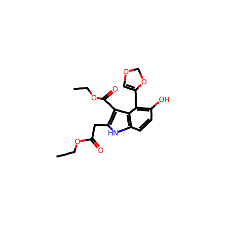 CCOC(=O)Cc1[nH]c2ccc(O)c(C3=COCO3)c2c1C(=O)OCC